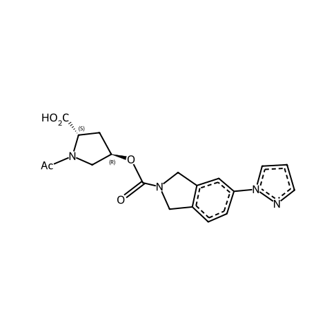 CC(=O)N1C[C@H](OC(=O)N2Cc3ccc(-n4cccn4)cc3C2)C[C@H]1C(=O)O